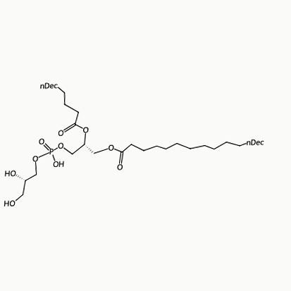 CCCCCCCCCCCCCCCCCCCCC(=O)OC[C@H](COP(=O)(O)OC[C@@H](O)CO)OC(=O)CCCCCCCCCCCCC